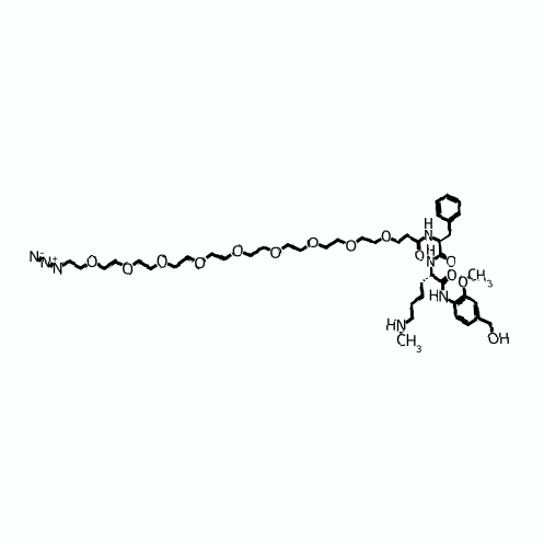 CNCCCC[C@H](NC(=O)[C@H](Cc1ccccc1)NC(=O)CCOCCOCCOCCOCCOCCOCCOCCOCCOCCN=[N+]=[N-])C(=O)Nc1ccc(CO)cc1OC